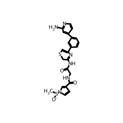 C[S+]([O-])n1ccc(C(=O)NCC(=O)NC2=NC(c3cccc(-c4ccnc(N)c4)c3)=CSC2)c1